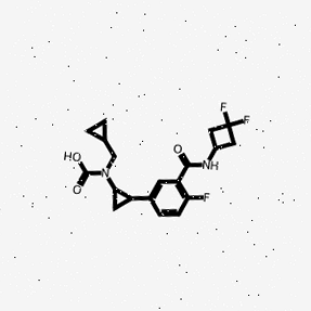 O=C(NC1CC(F)(F)C1)c1cc(C2CC2N(CC2CC2)C(=O)O)ccc1F